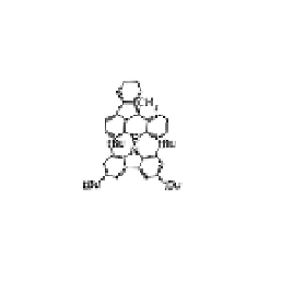 CC(C)(C)c1cc(C(C)(C)C)c2c(c1)c1cc(C(C)(C)C)cc(C(C)(C)C)c1n2B1c2ccccc2C2(C)c3ccccc3-c3cccc1c32